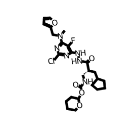 CN(Cc1ccco1)c1nc(Cl)nc(NNC(=O)[C@@H](CNC(=O)OC2CCCCO2)CC2CCCC2)c1F